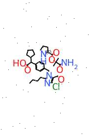 CC(C)(OC(=O)[C@@H]1CCCN1)C(N)=O.CCCCc1nc(Cl)c(C=O)n1Cc1ccc(C(C(=O)O)C2CCCC2)cc1